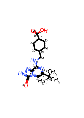 CC(C)(C)c1cn2c(=O)[nH]nc2c(NCC2CCC(C(=O)O)CC2)n1